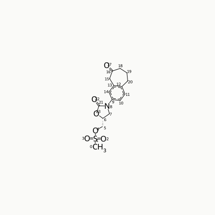 CS(=O)(=O)OC[C@H]1CN(c2ccc3c(c2)CC(=O)CCC3)C(=O)O1